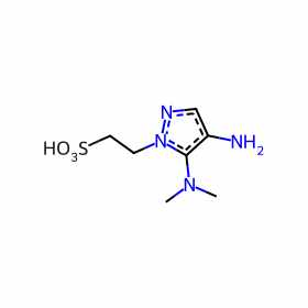 CN(C)c1c(N)cnn1CCS(=O)(=O)O